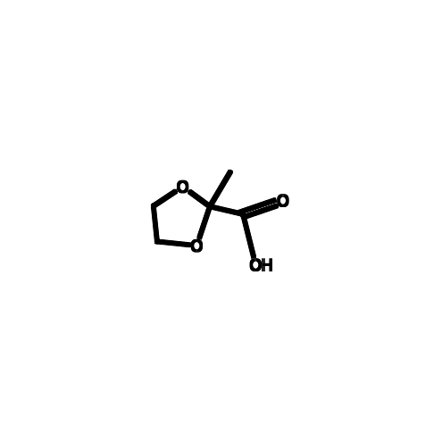 CC1(C(=O)O)OCCO1